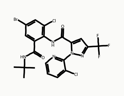 CC(C)(C)NC(=O)c1cc(Br)cc(Cl)c1NC(=O)c1cc(C(F)(F)F)nn1-c1ncccc1Cl